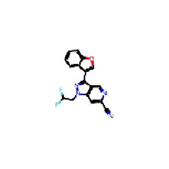 N#Cc1cc2c(cn1)c(-c1coc3ccccc13)nn2CC(F)F